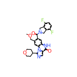 COCc1cc2c(cc1C(=O)N1Cc3c(F)ccc(F)c3C1)[nH]c(=O)c1cnc(C3CCOCC3)n12